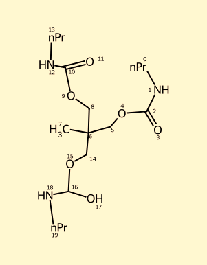 CCCNC(=O)OCC(C)(COC(=O)NCCC)COC(O)NCCC